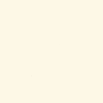 COc1ccc2cc3oc4ccc(F)cc4c(=O)c3cc2c1